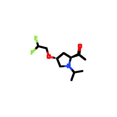 CC(=O)[C@@H]1C[C@@H](OCC(F)F)CN1C(C)C